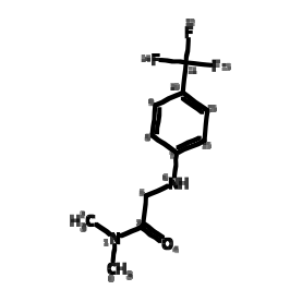 CN(C)C(=O)CNc1ccc(C(F)(F)F)cc1